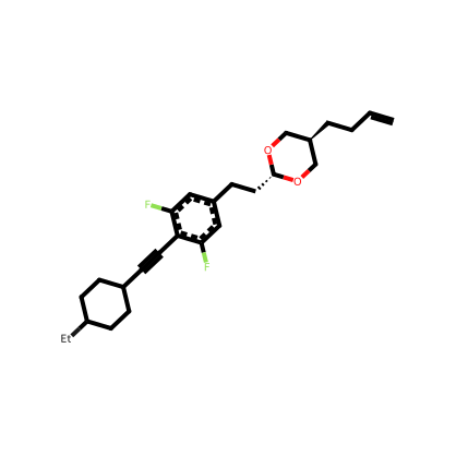 C=CCC[C@H]1CO[C@H](CCc2cc(F)c(C#CC3CCC(CC)CC3)c(F)c2)OC1